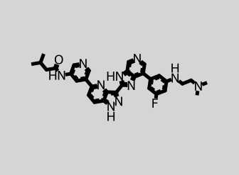 CC(C)CC(=O)Nc1cncc(-c2ccc3[nH]nc(-c4nc5c(-c6cc(F)cc(NCCN(C)C)c6)cncc5[nH]4)c3n2)c1